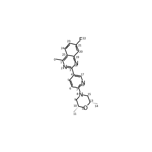 Cc1nc(-c2ccc(N3C[C@@H](C)O[C@@H](C)C3)nc2)nc2cc(F)ccc12